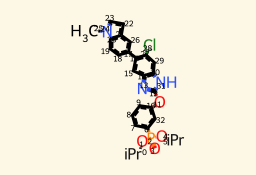 CC(C)OP(=O)(OC(C)C)c1cccc(Oc2nc3cc(-c4ccc5c(ccn5C)c4)c(Cl)cc3[nH]2)c1